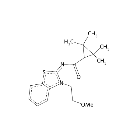 COCCn1c(=NC(=O)C2C(C)(C)C2(C)C)sc2ccccc21